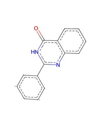 O=c1[nH]c(-c2c[c]c[c]c2)nc2ccccc12